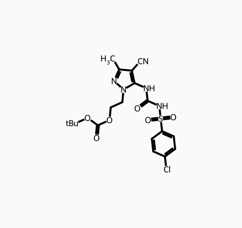 Cc1nn(CCOC(=O)OC(C)(C)C)c(NC(=O)NS(=O)(=O)c2ccc(Cl)cc2)c1C#N